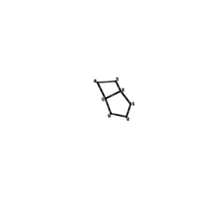 C1CC2CCC2C1